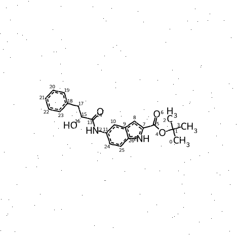 CC(C)(C)OC(=O)c1cc2cc(NC(=O)[C@H](O)Cc3ccccc3)ccc2[nH]1